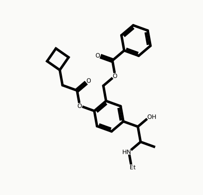 CCNC(C)C(O)c1ccc(OC(=O)CC2CCC2)c(COC(=O)c2ccccc2)c1